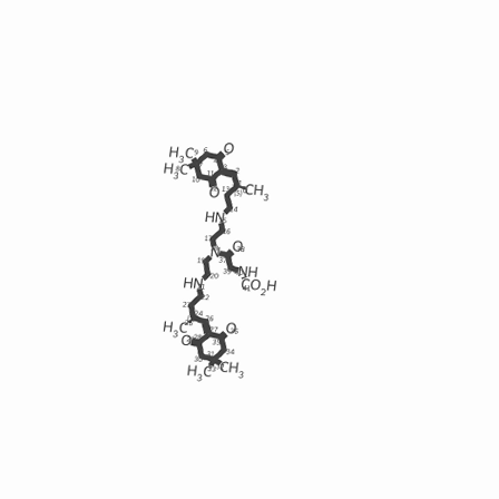 C[C@H](C=C1C(=O)CC(C)(C)CC1=O)CCNCCN(CCNCC[C@H](C)C=C1C(=O)CC(C)(C)CC1=O)C(=O)CNC(=O)O